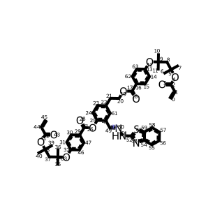 C=CC(=O)OC(C)(C)CC(C)(C)Oc1ccc(C(=O)OCCc2ccc(OC(=O)c3ccc(OC(C)(C)CC(C)(C)OC(=O)C=C)cc3)c(/C=N/Nc3nc4ccccc4s3)c2)cc1